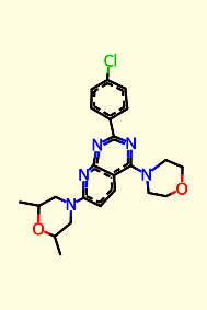 CC1CN(c2ccc3c(N4CCOCC4)nc(-c4ccc(Cl)cc4)nc3n2)CC(C)O1